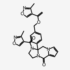 C=C(OCc1ccc(C23Cn4cccc4C(=O)N2CCN3C(=O)c2conc2C)cc1)c1conc1C